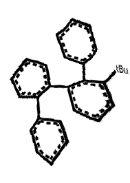 CC(C)(C)c1c[c]cc(-c2ccccc2-c2ccccc2)c1-c1ccccc1